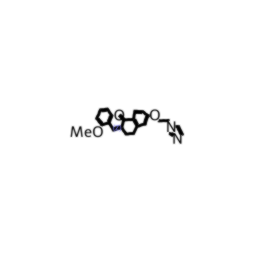 COc1ccccc1/C=C1/CCc2cc(OCCn3ccnc3)ccc2C1=O